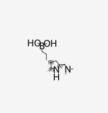 C[C@H]1N[C@H](CN(C)C)C[C@H]1CCCB(O)O